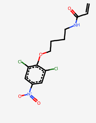 C=CC(=O)NCCCCOc1c(Cl)cc([N+](=O)[O-])cc1Cl